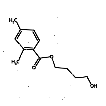 Cc1ccc(C(=O)OCCCCO)c(C)c1